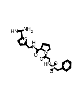 N=C(N)c1ccc(CNC(=O)C2C=CCN2C(=O)CNS(=O)(=O)Cc2ccccc2)s1